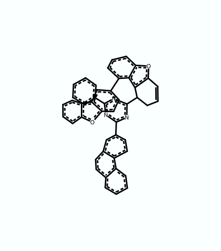 C1=Cc2oc3cccc(-c4ccc5oc6ccccc6c5c4)c3c2C(c2nc(-c3ccccc3)nc(-c3ccc4c(ccc5ccccc54)c3)n2)C1